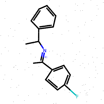 C/C(=N\C(C)c1ccccc1)c1ccc(F)cc1